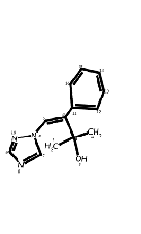 CC(C)(O)C(=Cn1cncn1)c1ccccc1